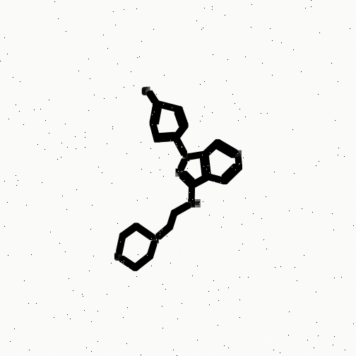 Clc1ccc(-n2nc(NCCN3CCOCC3)c3ccncc32)cc1